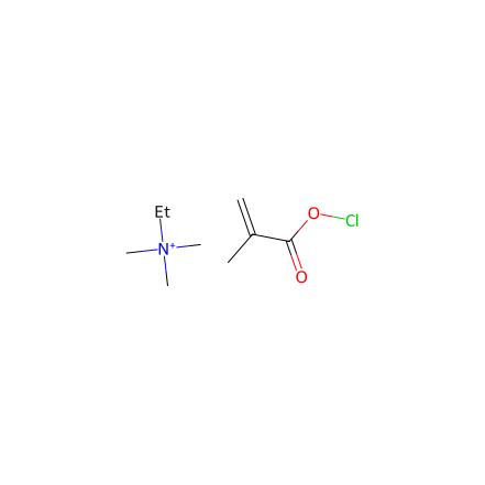 C=C(C)C(=O)OCl.CC[N+](C)(C)C